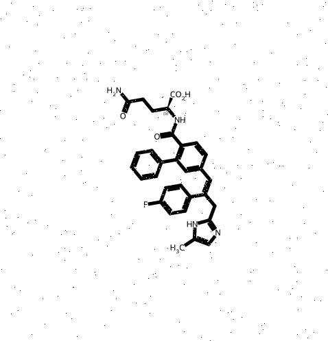 Cc1cnc(CC(=Cc2ccc(C(=O)N[C@@H](CCC(N)=O)C(=O)O)c(-c3ccccc3)c2)c2ccc(F)cc2)[nH]1